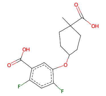 CC1(C(=O)O)CCC(Oc2cc(C(=O)O)c(F)cc2F)CC1